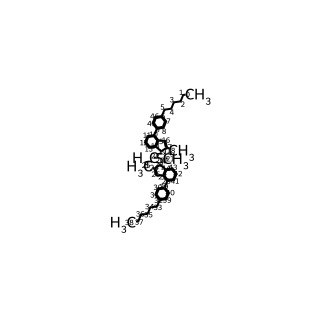 CCCCCCc1ccc(-c2cccc3c2C=C(C)C3[Si](C)(C)C2C(C)=Cc3c(-c4ccc(CCCCCC)cc4)cccc32)cc1